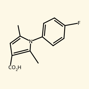 Cc1cc(C(=O)O)c(C)n1-c1ccc(F)cc1